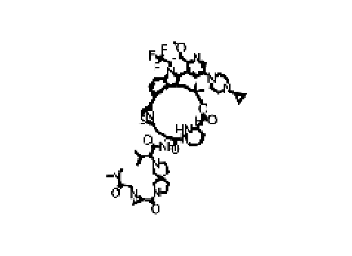 CO[C@@H](C)c1ncc(N2CCN(C3CC3)CC2)cc1-c1c2c3cc(ccc3n1CC(F)(F)F)-c1csc(n1)C[C@H](NC(=O)[C@H](C(C)C)N1CC[C@]3(CCN(C(=O)[C@H]4CN4CC(=O)N(C)C)C3)C1)C(=O)N1CCC[C@H](N1)C(=O)OCC(C)(C)C2